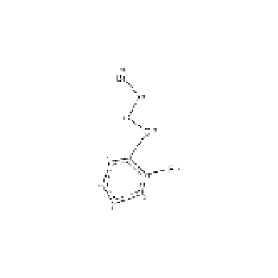 Fc1ccc[c]c1OCCBr